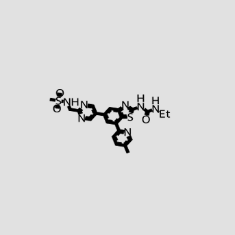 CCNC(=O)Nc1nc2cc(-c3cnc(CNS(C)(=O)=O)nc3)cc(-c3ccc(C)cn3)c2s1